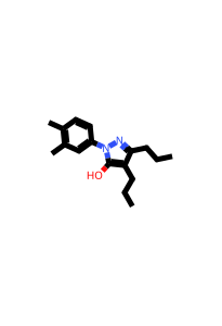 CCCc1nn(-c2ccc(C)c(C)c2)c(O)c1CCC